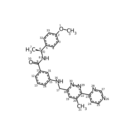 COc1ccc([C@H](C)NC(=O)c2cccc(NCc3cc(C)c(-c4ccncn4)nn3)c2)cc1